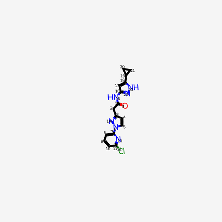 O=C(Cc1ccn(-c2cccc(Cl)n2)n1)Nc1cc(C2CC2)[nH]n1